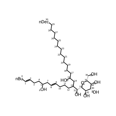 CCCC/C=C/CCC(O)C/C=C/CCCC(CC(O)CCCCCCCCCCCCCCCCCCCCCCC)C(O)[C@@H]1O[C@H](CO)[C@@H](O)[C@H](O)[C@H]1O